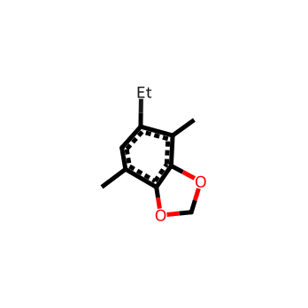 CCc1cc(C)c2c(c1C)OCO2